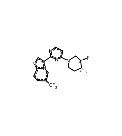 C[C@@H]1CCN(c2ccnc(-c3cnc4ccc(C(F)(F)F)cn34)n2)C[C@H]1F